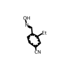 CCc1cc(C#N)ccc1/C=N/O